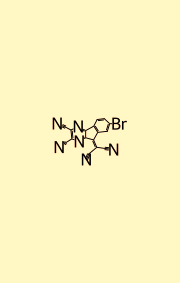 N#CC(C#N)=C1c2cc(Br)ccc2-c2nc(C#N)c(C#N)nc21